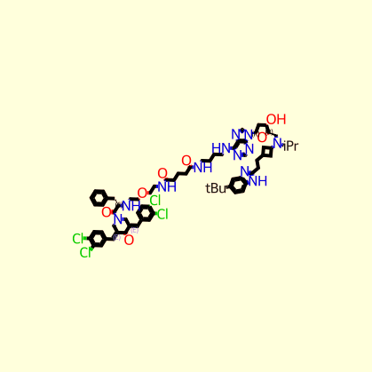 CC(C)N(C[C@H]1O[C@@H](n2cnc3c(NCCCCNC(=O)CCCC(=O)NCCOCCN[C@@H](Cc4ccccc4)C(=O)N4C/C(=C\c5ccc(Cl)c(Cl)c5)C(=O)/C(=C/c5ccc(Cl)c(Cl)c5)C4)ncnc32)CC1O)C1CC(CCc2nc3cc(C(C)(C)C)ccc3[nH]2)C1